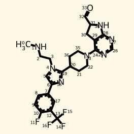 CNCCn1cc(-c2ccc(F)c(C(F)(F)F)c2)nc1C1CCN(c2ncnc3c2CC(C=O)N3)CC1